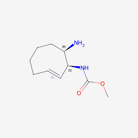 COC(=O)N[C@H]1/C=C/CCCC[C@H]1N